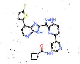 O=C(Nc1cncc(-c2ccc3[nH]nc(-c4nc5c(-c6ccc(F)s6)ccnc5[nH]4)c3n2)c1)C1CCC1